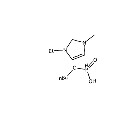 CCCCO[PH](=O)O.CCN1C=CN(C)C1